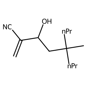 C=C(C#N)C(O)CC(C)(CCC)CCC